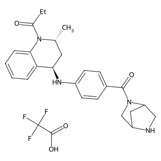 CCC(=O)N1c2ccccc2[C@H](Nc2ccc(C(=O)N3CC4CC3CN4)cc2)C[C@H]1C.O=C(O)C(F)(F)F